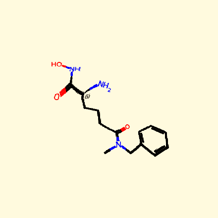 CN(Cc1ccccc1)C(=O)CCC[C@H](N)C(=O)NO